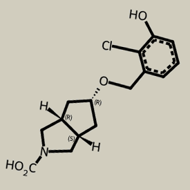 O=C(O)N1C[C@H]2C[C@@H](OCc3cccc(O)c3Cl)C[C@H]2C1